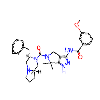 COc1cccc(C(=O)Nc2n[nH]c3c2CN(C(=O)N2C[C@@H]4CCCN4C[C@@H]2Cc2ccccc2)C3(C)C)c1